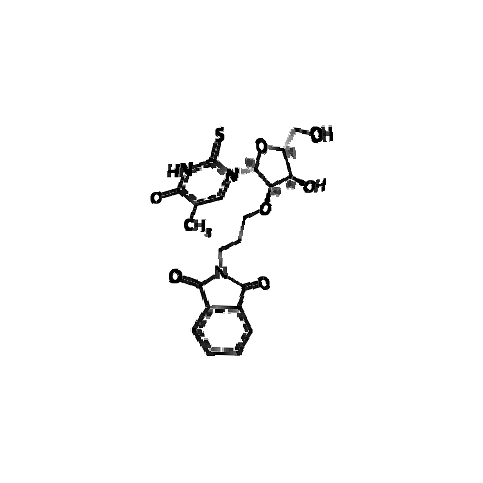 Cc1cn([C@@H]2O[C@H](CO)[C@@H](O)[C@H]2OCCCN2C(=O)c3ccccc3C2=O)c(=S)[nH]c1=O